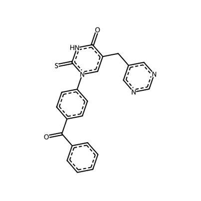 O=C(c1ccccc1)c1ccc(-n2cc(Cc3cncnc3)c(=O)[nH]c2=S)cc1